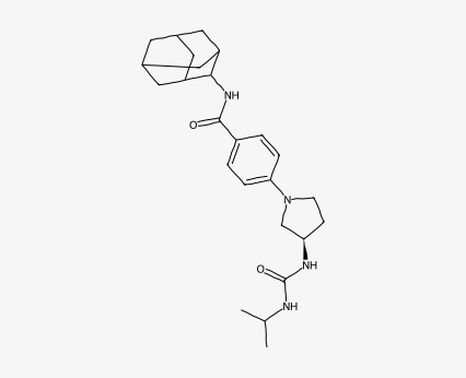 CC(C)NC(=O)N[C@@H]1CCN(c2ccc(C(=O)NC3C4CC5CC(C4)CC3C5)cc2)C1